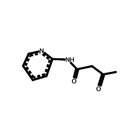 CC(=O)CC(=O)Nc1ccccn1